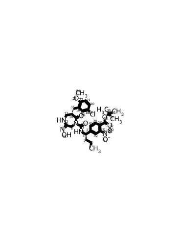 CCC[C@@H](NC(=O)N1C/C(=N\O)NC[C@H](Cc2cc(Cl)ccc2OC)C1=O)c1ccc(C(=O)OC(C)(C)C)c([N+](=O)[O-])c1